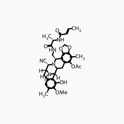 C/C=C/C(=O)N[C@@H](C)C(=O)NC[C@H]1c2c(c(OC(C)=O)c(C)c3c2OCO3)CC2[C@@H]3c4c(cc(C)c(OC)c4O)C[C@H]([C@H](C#N)N21)N3C